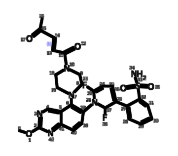 COc1ncc2c(N3CCN(C(=O)/C=C/C(C)=O)CC3)c(N3C(F)=CC=C(c4ccccc4S(N)(=O)=O)C3F)ccc2n1